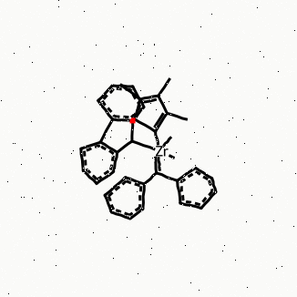 CC1=C(C)C(C)=[C]([Zr]([CH3])([CH3])(=[C](c2ccccc2)c2ccccc2)[CH]2c3ccccc3-c3ccccc32)C1